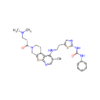 CN(C)CCC(=O)N1CCc2c(sc3ncc(C#N)c(NCCc4cnc(NC(=O)Nc5ccccc5)s4)c23)C1